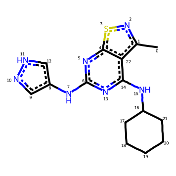 Cc1nsc2nc(Nc3cn[nH]c3)nc(NC3CCCCC3)c12